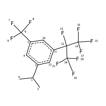 CC(C)c1cc(C(F)(F)F)cc(C(F)(C(F)(F)F)C(F)(F)F)c1